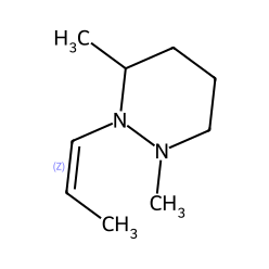 C/C=C\N1C(C)CCCN1C